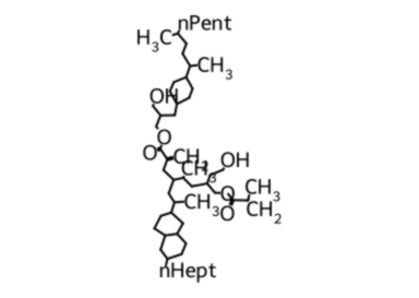 C=C(C)C(=O)OCC(CCO)CC(C)C(CC(=C)C(=O)OCC(CO)CC1CCC(C(C)CCC(C)CCCCC)CC1)CC(C)C1CCC2CC(CCCCCCC)CCC2C1